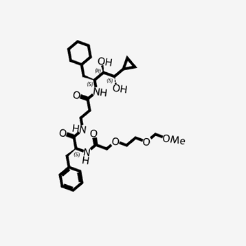 COCOCCOCC(=O)N[C@@H](Cc1ccccc1)C(=O)NCCC(=O)N[C@@H](CC1CCCCC1)[C@@H](O)[C@@H](O)C1CC1